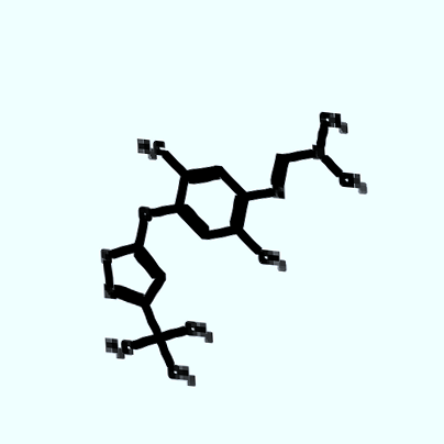 Cc1cc(Oc2cc(C(C)(C)C)ns2)c(C)cc1N=CN(C)C